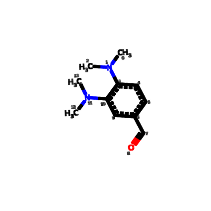 CN(C)c1ccc(C=O)cc1N(C)C